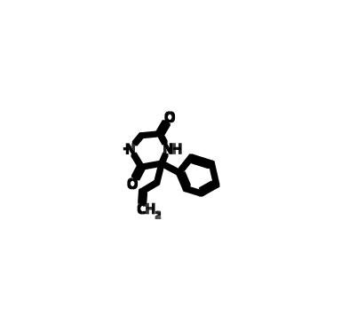 C=CCC1(c2ccccc2)NC(=O)C[N]C1=O